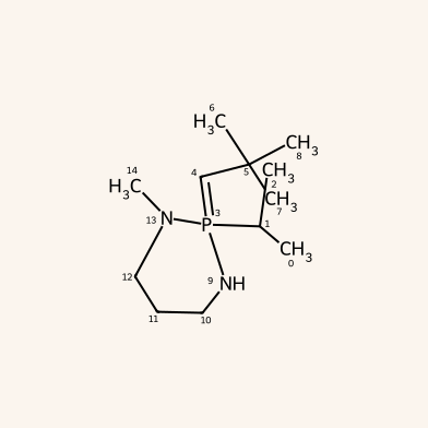 CC(C)P1(=CC(C)(C)C)NCCCN1C